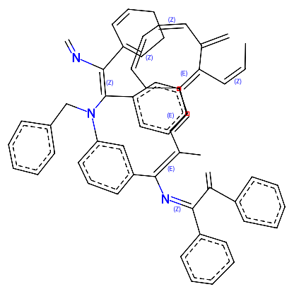 C=N/C(C1=CCCC=C1)=C(/c1ccccc1)N(Cc1ccccc1)c1cccc(C(/N=C(\C(=C)c2ccccc2)c2ccccc2)=C(C)\C=C\C2=C(/C=C\C)C(=C)/C=C\C=C/C2)c1